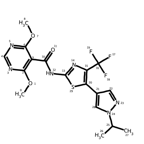 COc1ncnc(OC)c1C(=O)Nc1nc(C(F)(F)F)c(-c2cnn(C(C)C)c2)s1